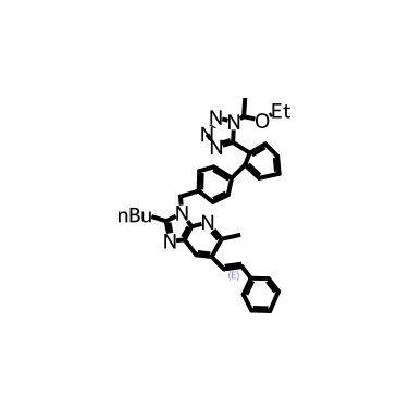 CCCCc1nc2cc(/C=C/c3ccccc3)c(C)nc2n1Cc1ccc(-c2ccccc2-c2nnnn2C(C)OCC)cc1